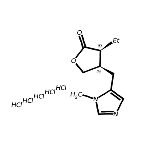 CC[C@@H]1C(=O)OC[C@@H]1Cc1cncn1C.Cl.Cl.Cl.Cl.Cl